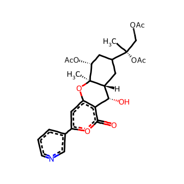 CC(=O)OC[C@@](C)(OC(C)=O)C1C[C@@H]2[C@H](O)c3c(cc(-c4cccnc4)oc3=O)O[C@@]2(C)[C@H](OC(C)=O)C1